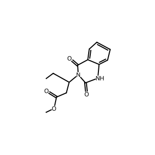 CCC(CC(=O)OC)n1c(=O)[nH]c2ccccc2c1=O